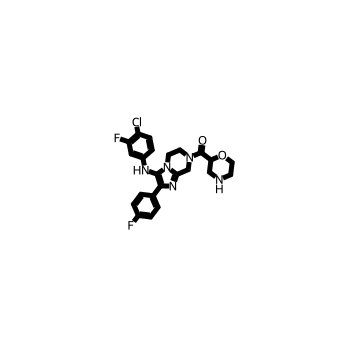 O=C(C1CNCCO1)N1CCn2c(nc(-c3ccc(F)cc3)c2Nc2ccc(Cl)c(F)c2)C1